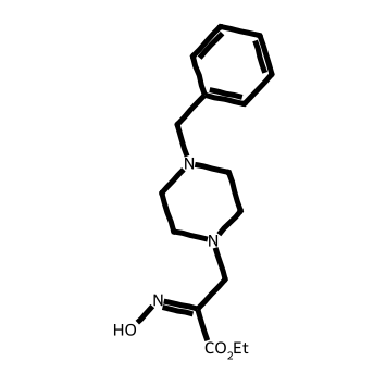 CCOC(=O)C(CN1CCN(Cc2ccccc2)CC1)=NO